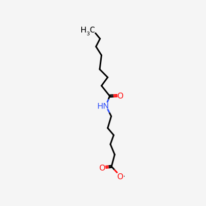 CCCCCCCC(=O)NCCCCCC([O])=O